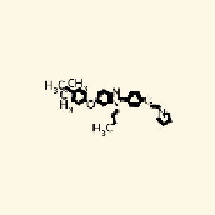 CCCCn1c(-c2ccc(OCCN3CCCC3)cc2)nc2ccc(Oc3ccc(C(C)(C)C)cc3)cc21